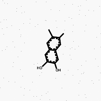 Cc1cc2cc(O)c(O)cc2cc1C